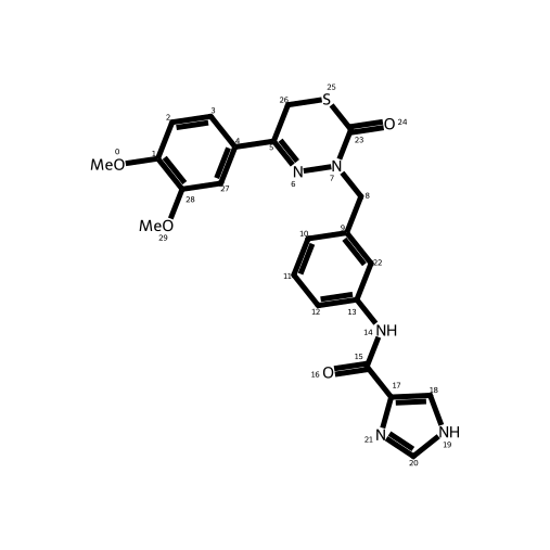 COc1ccc(C2=NN(Cc3cccc(NC(=O)c4c[nH]cn4)c3)C(=O)SC2)cc1OC